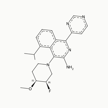 CO[C@H]1CCN(c2c(N)nc(-c3ccncn3)c3cccc(C(C)C)c23)C[C@H]1F